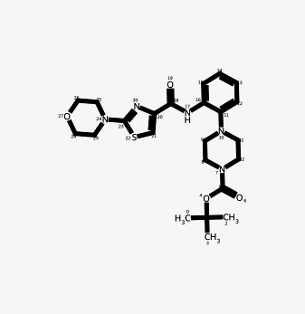 CC(C)(C)OC(=O)N1CCN(c2ccccc2NC(=O)c2csc(N3CCOCC3)n2)CC1